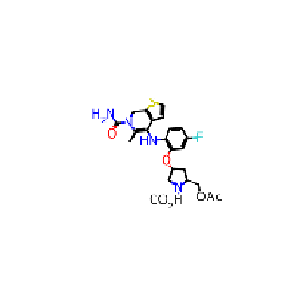 CC(=O)OC[C@@H]1C[C@H](Oc2cc(F)ccc2NC2=C(C)N(C(N)=O)Cc3sccc32)CN1C(=O)O